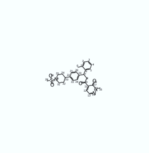 Cc1ccccc1C(CC(=O)c1ccnn(C)c1=O)c1ccc(C2CCN(S(C)(=O)=O)CC2)cc1